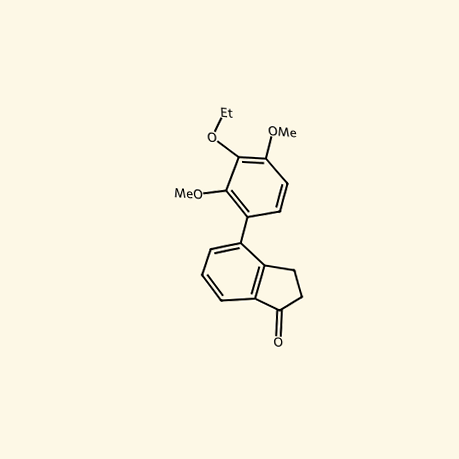 CCOc1c(OC)ccc(-c2cccc3c2CCC3=O)c1OC